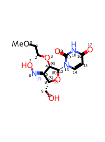 COCCO[C@@H]1/C(=N\O)[C@@H](CO)O[C@H]1n1ccc(=O)[nH]c1=O